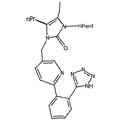 CCCCCn1c(C)c(CCC)n(Cc2ccc(-c3ccccc3-c3nnn[nH]3)nc2)c1=O